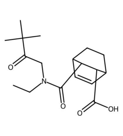 CCN(CC(=O)C(C)(C)C)C(=O)C1C2C=CC(CC2)C1C(=O)O